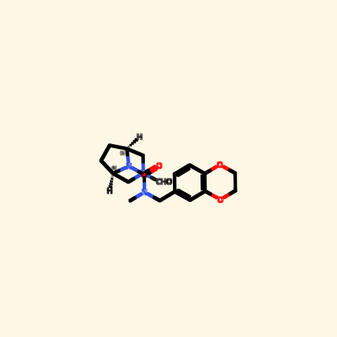 CN(Cc1ccc2c(c1)OCCO2)C(=O)N1[C@@H]2CC[C@H]1CN(C=O)C2